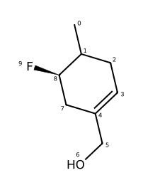 CC1CC=C(CO)C[C@H]1F